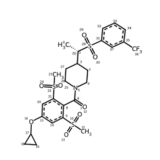 C[C@@H](C1CCN(C(=O)c2c(S(C)(=O)=O)cc(OC3CC3)cc2S(C)(=O)=O)CC1)S(=O)(=O)c1cccc(C(F)(F)F)c1